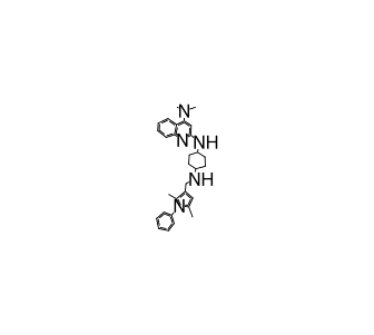 Cc1cc(CNC2CCC(Nc3cc(N(C)C)c4ccccc4n3)CC2)c(C)n1-c1ccccc1